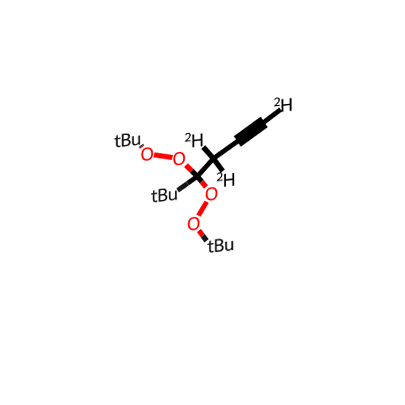 [2H]C#CC([2H])([2H])C(OOC(C)(C)C)(OOC(C)(C)C)C(C)(C)C